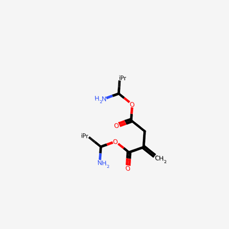 C=C(CC(=O)OC(N)C(C)C)C(=O)OC(N)C(C)C